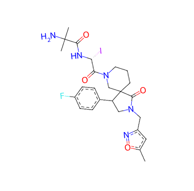 Cc1cc(CN2CC(c3ccc(F)cc3)C3(CCCN(C(=O)[C@@H](I)NC(=O)C(C)(C)N)C3)C2=O)no1